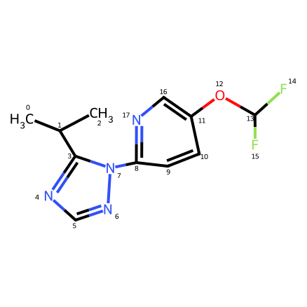 CC(C)c1ncnn1-c1ccc(OC(F)F)cn1